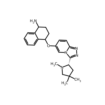 CN1CC(C)(C)C[C@H]1c1nnc2ccc(OC3CCC(N)c4ccccc43)cn12